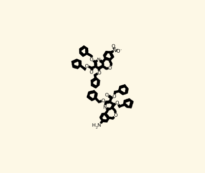 Nc1ccc2c(c1)COCc1c-2nc(OCc2ccccc2)c(C(=O)OCc2ccccc2)c1OCc1ccccc1.O=C(OCc1ccccc1)c1c(OCc2ccccc2)nc2c(c1OCc1ccccc1)COCc1cc([N+](=O)[O-])ccc1-2